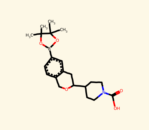 CC1(C)OB(c2ccc3c(c2)CC(C2CCN(C(=O)O)CC2)OC3)OC1(C)C